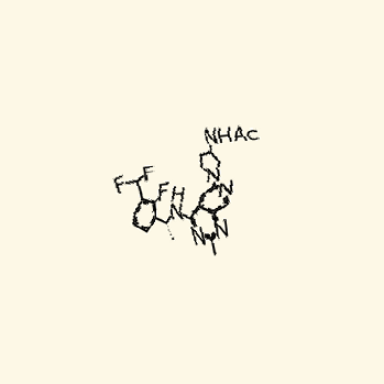 CC(=O)N[C@@H]1CCN(c2cc3c(N[C@H](C)c4cccc(C(F)F)c4F)nc(C)nc3cn2)C1